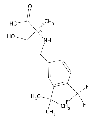 CC(C)(C)c1cc(CN[C@@](C)(CO)C(=O)O)ccc1C(F)(F)F